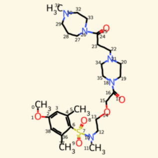 COc1cc(C)c(S(=O)(=O)N(C)CCOCC(=O)N2CCN(CCC(=O)N3CCCN(C)CC3)CC2)c(C)c1